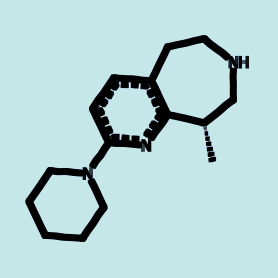 C[C@H]1CNCCc2ccc(N3CCCCC3)nc21